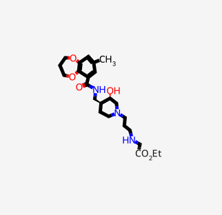 CCOC(=O)CNCCCN1CC[C@@H](CNC(=O)c2cc(C)cc3c2OCCCO3)[C@H](O)C1